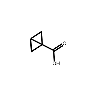 O=C(O)C12CC1C2